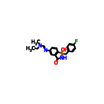 CCN(C)C=Nc1ccc2c(c1)C(=O)NS2(O)Cc1ccc(F)cc1